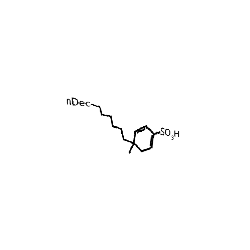 CCCCCCCCCCCCCCCCC1(C)C=CC(S(=O)(=O)O)=CC1